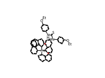 CCOc1ccc(NC(=S)Nc2ccc(OCC)cc2)cc1.c1ccc2c([PH](c3cccc4ccccc34)(c3cccc4ccccc34)c3cccc4ccccc34)cccc2c1